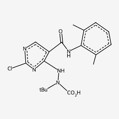 Cc1cccc(C)c1NC(=O)c1cnc(Cl)nc1NN(C(=O)O)C(C)(C)C